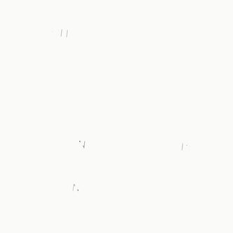 Cc1nc2ccc(Br)cc2n1C1CCC(O)CC1